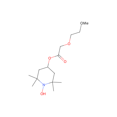 COCCOCC(=O)OC1CC(C)(C)N(O)C(C)(C)C1